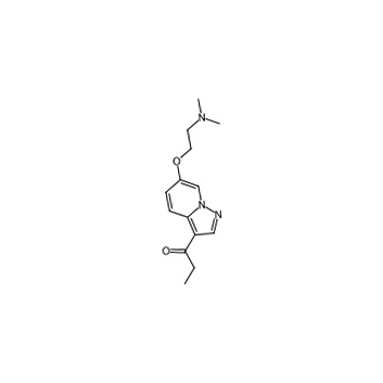 CCC(=O)c1cnn2cc(OCCN(C)C)ccc12